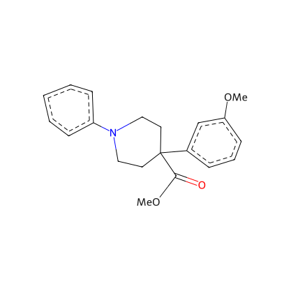 COC(=O)C1(c2cccc(OC)c2)CCN(c2ccccc2)CC1